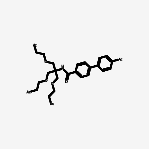 CC(=O)CCOCC(COCCC(C)=O)(COCCC(C)=O)NC(=O)c1ccc(-c2ccc(C(C)=O)cc2)cc1